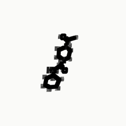 CC(=O)N1CCN(C(=O)NC2CCCCC2)CC1